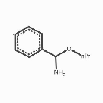 CCCOC(N)c1cc[c]cc1